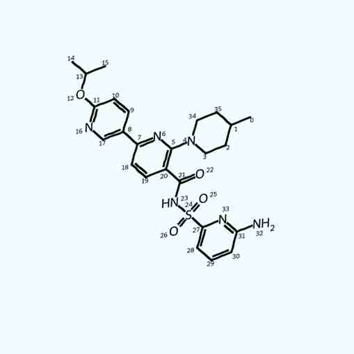 CC1CCN(c2nc(-c3ccc(OC(C)C)nc3)ccc2C(=O)NS(=O)(=O)c2cccc(N)n2)CC1